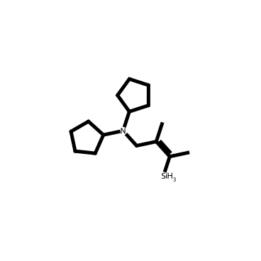 CC([SiH3])=C(C)CN(C1CCCC1)C1CCCC1